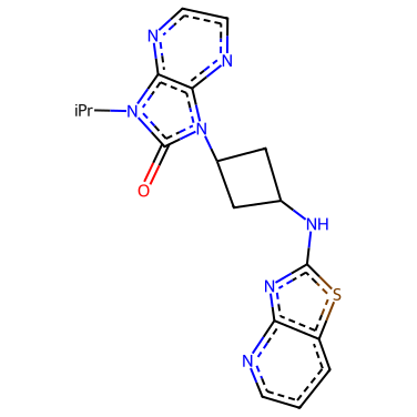 CC(C)n1c(=O)n(C2CC(Nc3nc4ncccc4s3)C2)c2nccnc21